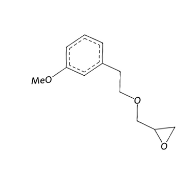 COc1cccc(CCOCC2CO2)c1